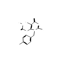 CC(C)(C)OC(=O)Nc1c(N=O)c(=O)nc(S)n1Cc1ccc(Cl)cc1